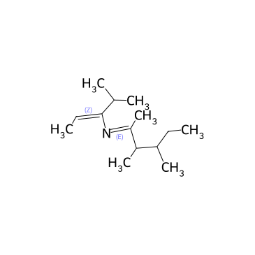 C/C=C(\N=C(/C)C(C)C(C)CC)C(C)C